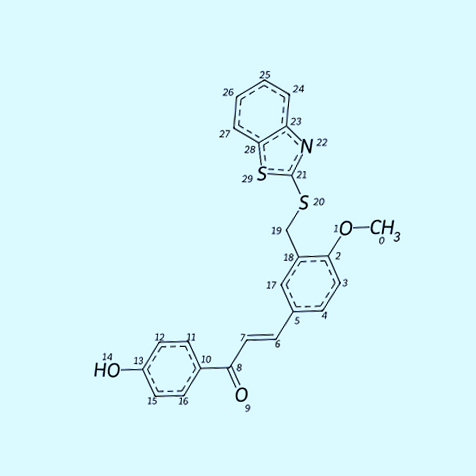 COc1ccc(C=CC(=O)c2ccc(O)cc2)cc1CSc1nc2ccccc2s1